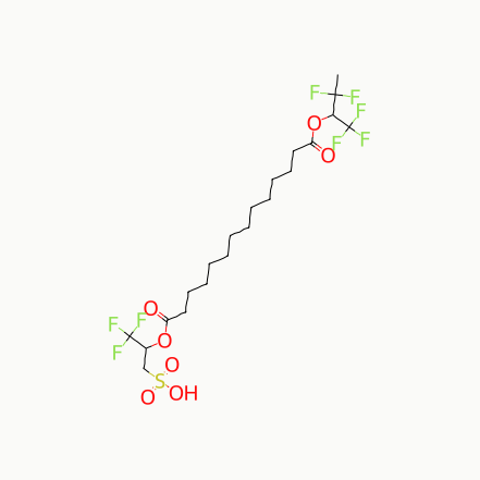 CC(F)(F)C(OC(=O)CCCCCCCCCCCCC(=O)OC(CS(=O)(=O)O)C(F)(F)F)C(F)(F)F